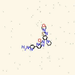 Nc1ccc(-c2cccc(C(=O)Nc3cc4sc(N5CCOCC5)nc4cc3N3CCCCC3)n2)cn1